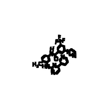 Cc1ccc(NC(=O)c2cc(-n3ccnc3)cc(C(F)(F)F)c2)cc1Nc1nccc(-c2cccnc2)n1